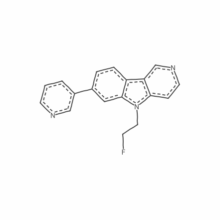 FCCn1c2ccncc2c2ccc(-c3cccnc3)cc21